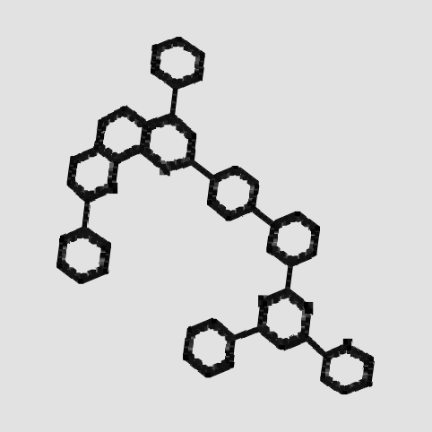 c1ccc(-c2cc(-c3ccccn3)nc(-c3cccc(-c4ccc(-c5cc(-c6ccccc6)c6ccc7ccc(-c8ccccc8)nc7c6n5)cc4)c3)n2)cc1